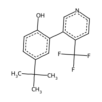 CC(C)(C)c1ccc(O)c(-c2cnccc2C(F)(F)F)c1